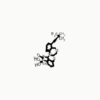 CC(C)(C#Cc1cccc2c1COCCN2c1nc(=O)n(C(O)(O)O)c2cccc(F)c12)C(F)(F)F